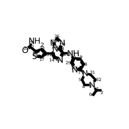 CC(C)N1CCN(c2ccc(Nc3ncc(-c4csc(C(N)=O)c4)n4ncnc34)cn2)CC1